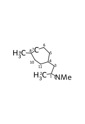 CNC(C)CC1CCCC(C)CC1